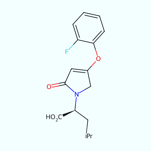 CC(C)C[C@@H](C(=O)O)N1CC(Oc2ccccc2F)=CC1=O